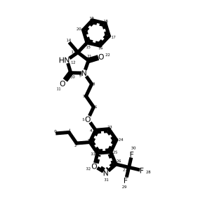 CCCc1c(OCCCN2C(=O)NC(C)(c3ccccc3)C2=O)ccc2c(C(F)(F)F)noc12